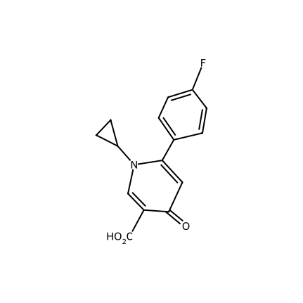 O=C(O)c1cn(C2CC2)c(-c2ccc(F)cc2)cc1=O